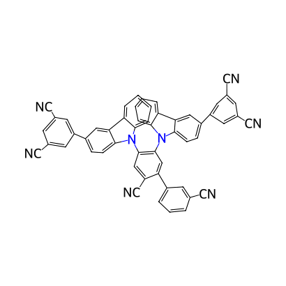 N#Cc1cc(C#N)cc(-c2ccc3c(c2)c2ccccc2n3-c2cc(C#N)c(-c3cccc(C#N)c3)cc2-n2c3ccccc3c3cc(-c4cc(C#N)cc(C#N)c4)ccc32)c1